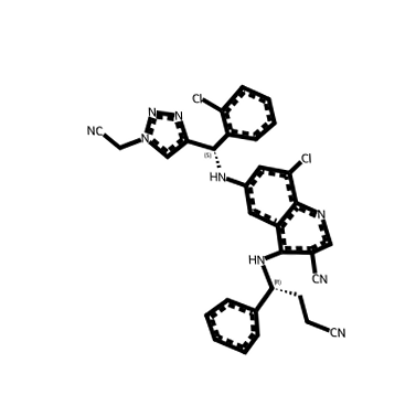 N#CCC[C@@H](Nc1c(C#N)cnc2c(Cl)cc(N[C@H](c3cn(CC#N)nn3)c3ccccc3Cl)cc12)c1ccccc1